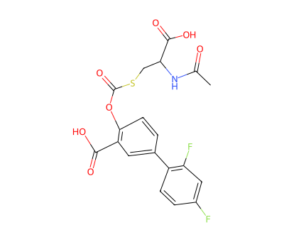 CC(=O)NC(CSC(=O)Oc1ccc(-c2ccc(F)cc2F)cc1C(=O)O)C(=O)O